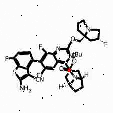 CC(C)(C)OC(=O)N1[C@H]2CC[C@H]1CN(c1nc(OC[C@@]34CCCN3C[C@H](F)C4)nc3c(F)c(-c4ccc(F)c5sc(N)c(C#N)c45)c(Cl)cc13)C2